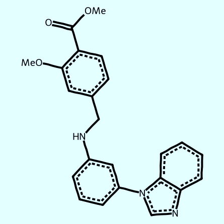 COC(=O)c1ccc(CNc2cccc(-n3cnc4ccccc43)c2)cc1OC